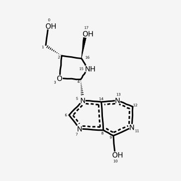 OC[C@H]1O[C@@H](n2cnc3c(O)ncnc32)N[C@@H]1O